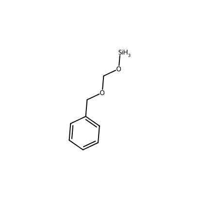 [SiH3]OCOCc1ccccc1